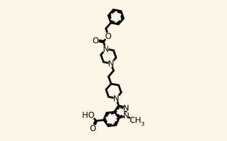 Cn1nc(N2CCC(CCN3CCN(C(=O)OCc4ccccc4)CC3)CC2)c2cc(C(=O)O)ccc21